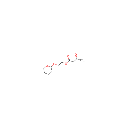 O=C(CC(=O)C(F)(F)F)OCCOC1CCCCO1